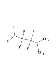 C[C](C)C(F)(F)C(F)(F)C(F)F